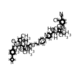 C[C@@H]1C[C@@H](C(=O)NCc2ccc(C3CCC3)cc2)N(C(=O)[C@@H](NC(=O)COCCN2CCN(c3ccc(C(=O)N[C@H]4C(C)(C)[C@H](Oc5ccc(C#N)c(Cl)c5)C4(C)C)cn3)CC2)C(C)(C)C)N1